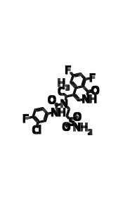 CC(c1c[nH]c(=O)c2c(F)cc(F)cc12)N(CCS(N)(=O)=O)C(=O)Nc1ccc(F)c(Cl)c1